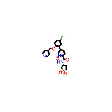 O=C(N[C@@H]1C=CS(=O)(=O)C1)c1ccc(-c2cc(F)ccc2OCc2ccncc2)c[n+]1[O-]